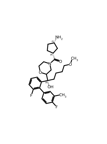 COCCCC[C@@](O)(c1cccc(F)c1-c1ccc(F)c(C)c1)C1CN(C(=O)[C@@H]2CC[C@H](N)C2)CCO1